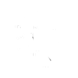 Cc1cn([C@]2(P(=O)(O)O)O[C@H](CO)[C@@H](O)C2P(=O)(O)O)c(=O)[nH]c1=O